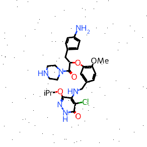 COc1ccc(CNc2c(OC(C)C)n[nH]c(=O)c2Cl)cc1OC(Cc1ccc(N)cc1)C(=O)N1CCNCC1